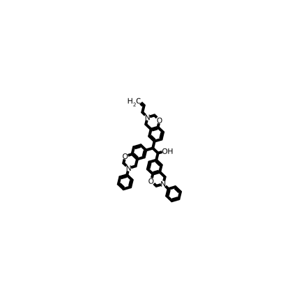 C=CCN1COc2ccc(C(c3ccc4c(c3)CN(c3ccccc3)CO4)C(O)c3ccc4c(c3)CN(c3ccccc3)CO4)cc2C1